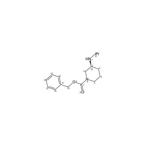 CC(C)N[C@H]1CCCN(C(=O)OCc2ccccc2)C1